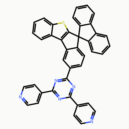 c1ccc2c(c1)-c1ccccc1C21c2ccc(-c3nc(-c4ccncc4)nc(-c4ccncc4)n3)cc2-c2c1sc1ccccc21